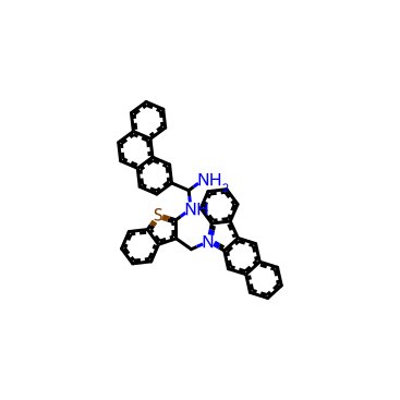 NC(Nc1sc2ccccc2c1Cn1c2ccccc2c2cc3ccccc3cc21)c1ccc2ccc3ccccc3c2c1